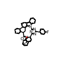 Fc1ccc(-c2nc(-c3ccc(F)cc3)nc(-n3c4ccccc4c4ccc5c(c43)CC(c3nc4ccccc4o3)c3ccccc3-5)n2)cc1